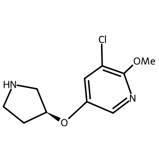 COc1ncc(O[C@H]2CCNC2)cc1Cl